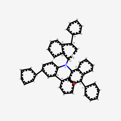 c1ccc(-c2ccc(N(c3ccc(-c4ccccc4)c4ccccc34)c3ccc(-c4ccccc4)c4ccccc34)c(-c3ccccc3)c2)cc1